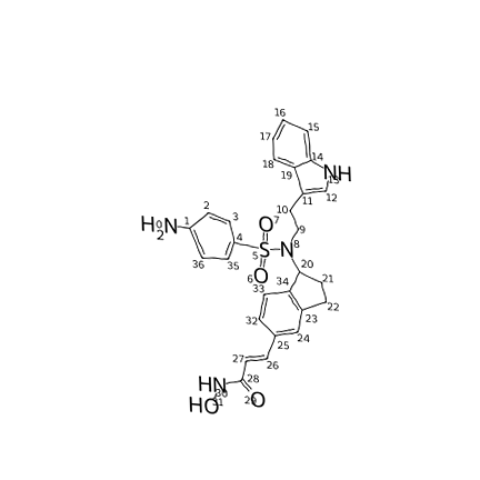 Nc1ccc(S(=O)(=O)N(CCc2c[nH]c3ccccc23)C2CCc3cc(C=CC(=O)NO)ccc32)cc1